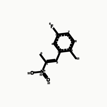 C/C(=C\c1cc(F)ccc1C)[N+](=O)[O-]